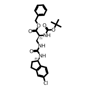 CC(C)(C)OC(=O)N[C@@H](CNC(=O)N[C@@H]1CCc2cc(Cl)ccc21)C(=O)OCc1ccccc1